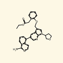 CCOC(=O)Cc1ccccc1OCc1cn(C2CCOC2)c2ncc(-c3cccc4c(N)nccc34)cc12